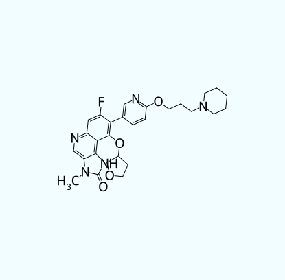 Cn1c(=O)[nH]c2c3c(OC4CCOC4)c(-c4ccc(OCCCN5CCCCC5)nc4)c(F)cc3ncc21